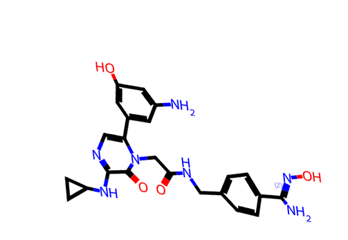 N/C(=N\O)c1ccc(CNC(=O)Cn2c(-c3cc(N)cc(O)c3)cnc(NC3CC3)c2=O)cc1